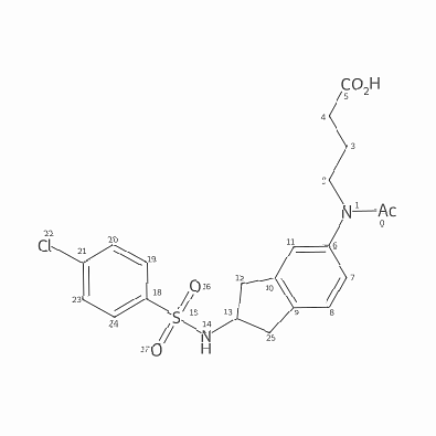 CC(=O)N(CCCC(=O)O)c1ccc2c(c1)CC(NS(=O)(=O)c1ccc(Cl)cc1)C2